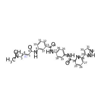 CN(C)C/C=C/C(=O)Nc1cccc(C(=O)Nc2ccc(NC(=O)c3cccc(-c4ccn[nH]4)n3)cc2)c1